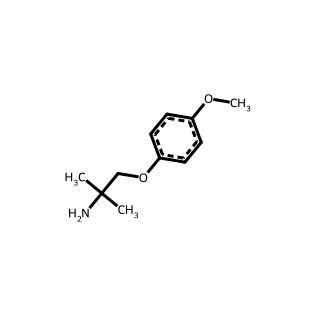 COc1ccc(OCC(C)(C)N)cc1